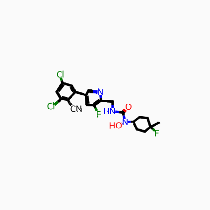 CC1(F)CCC(N(O)C(=O)NCc2ncc(-c3cc(Cl)cc(Cl)c3C#N)cc2F)CC1